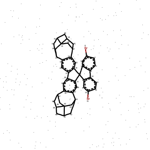 Brc1ccc2c(c1)C1(c3cc(Br)ccc3-2)c2cc3c(cc2-c2cc4c(cc21)C1CC2CC5CC4CC52C1)C1CC2CC4CC3CC24C1